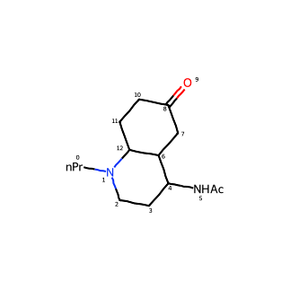 CCCN1CCC(NC(C)=O)C2CC(=O)CCC21